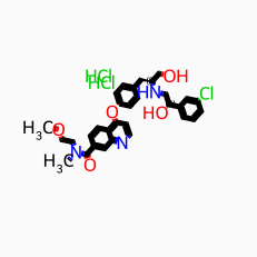 COCCN(C)C(=O)c1ccc2c(Oc3ccc(C[C@@H](CO)NC[C@H](O)c4cccc(Cl)c4)cc3)ccnc2c1.Cl.Cl